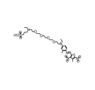 CCN(CCCS(=O)(=O)O)CCOCCOCCOCCOCCN(CC)c1ccc(/N=N/c2sc([N+](=O)[O-])c(C)c2[N+](=O)[O-])c(C)c1